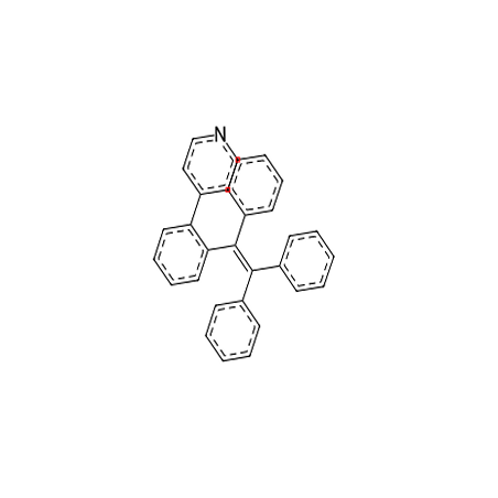 c1ccc(C(=C(c2ccccc2)c2ccccc2-c2ccncc2)c2ccccc2)cc1